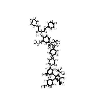 CCOP(=O)(c1ccc(NC(CCN2CCOCC2)CSc2ccccc2)c([N+](=O)[O-])c1)N(C)c1ccc(N2CCN(c3cc(F)cc(-c4c(S(C)(=O)=O)c(C)n(C(C)C)c4-c4ccc(Cl)cc4)c3)CC2)cc1